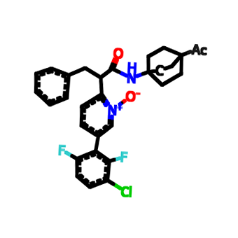 CC(=O)C12CCC(NC(=O)C(Cc3ccccc3)c3ccc(-c4c(F)ccc(Cl)c4F)c[n+]3[O-])(CC1)CC2